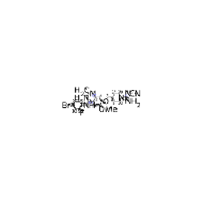 C=C/N=C1/C=C(OCC2CCN(/C(N)=N/C#N)CC2)C(OC)=C/C1=C(/N)Nc1ccc(Br)cc1F